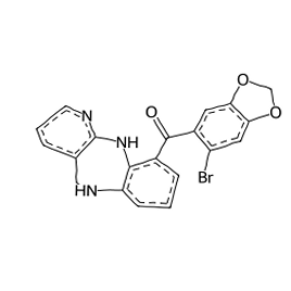 O=C(c1cc2c(cc1Br)OCO2)c1cccc2c1Nc1ncccc1CN2